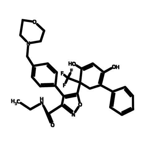 CCNC(=O)c1noc(C2(C(F)(F)F)CC(c3ccccc3)=C(O)C=C2O)c1-c1ccc(CN2CCOCC2)cc1